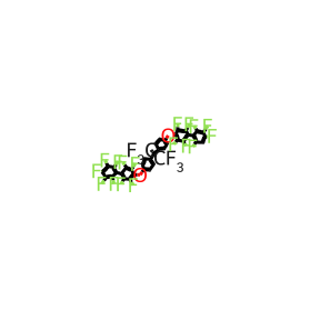 Fc1cc(F)c(-c2c(F)c(F)c(Oc3ccc(C(c4ccc(Oc5c(F)c(F)c(-c6c(F)c(F)c(F)c(F)c6F)c(F)c5F)cc4)(C(F)(F)F)C(F)(F)F)cc3)c(F)c2F)c(F)c1F